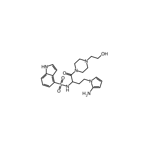 Nc1cccn1CCC(NS(=O)(=O)c1cccc2[nH]ccc12)C(=O)N1CCN(CCO)CC1